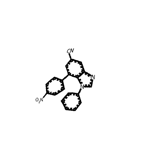 N#Cc1cc(-c2ccc([N+](=O)[O-])cc2)c2c(c1)ncn2-c1ccccc1